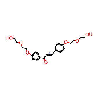 O=C(/C=C/c1ccc(OCCOCCO)cc1)c1ccc(OCCOCCO)cc1